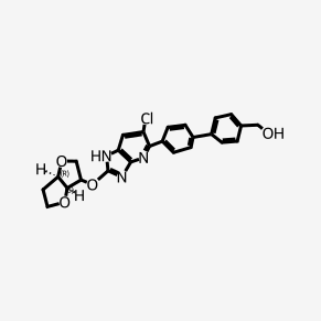 OCc1ccc(-c2ccc(-c3nc4nc(OC5CO[C@@H]6CCO[C@H]56)[nH]c4cc3Cl)cc2)cc1